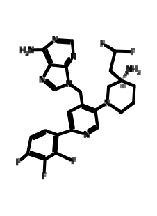 Nc1ncnc2c1ncn2Cc1cc(-c2ccc(F)c(F)c2F)ncc1N1CCC[C@](N)(CC(F)F)C1